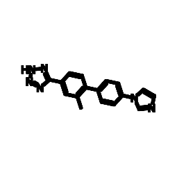 Cc1cc(-c2nn[nH]n2)ccc1-c1ccc(-n2ccnc2)cc1